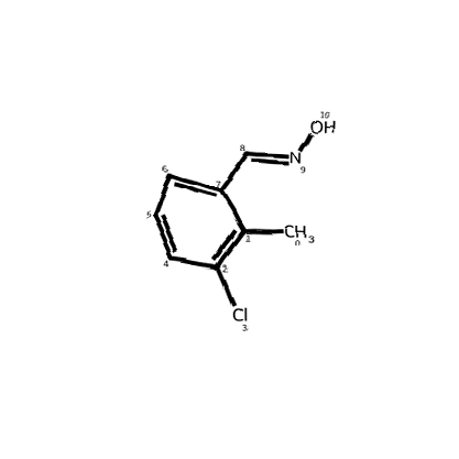 Cc1c(Cl)cccc1C=NO